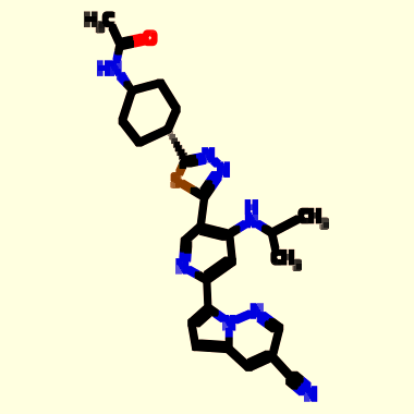 CC(=O)N[C@H]1CC[C@H](c2nnc(-c3cnc(-c4ccc5cc(C#N)cnn45)cc3NC(C)C)s2)CC1